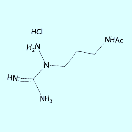 CC(=O)NCCCN(N)C(=N)N.Cl